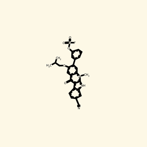 CC(C)COc1cc2c(=O)c3c4ccc(C#N)cc4[nH]c3n(C)c2cc1-c1cccc(OS(=O)(=O)F)c1